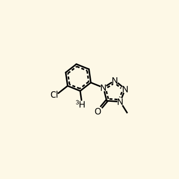 [3H]c1c(Cl)cccc1-n1nnn(C)c1=O